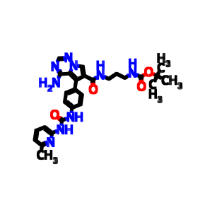 Cc1cccc(NC(=O)Nc2ccc(-c3c(C(=O)NCCCNC(=O)OC(C)(C)C)cn4ncnc(N)c34)cc2)n1